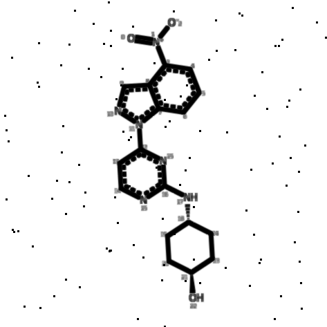 O=[N+]([O-])c1cccc2c1cnn2-c1ccnc(N[C@H]2CC[C@H](O)CC2)n1